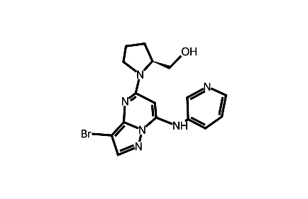 OC[C@@H]1CCCN1c1cc(Nc2cccnc2)n2ncc(Br)c2n1